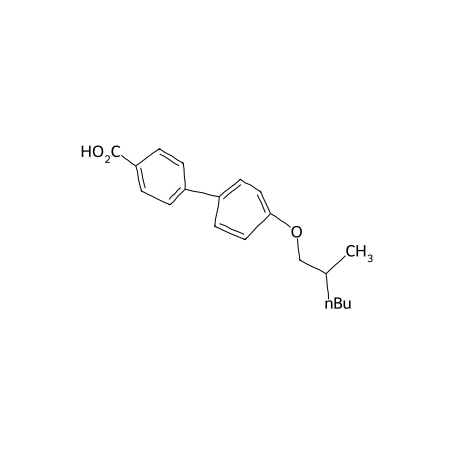 CCCCC(C)COc1ccc(-c2ccc(C(=O)O)cc2)cc1